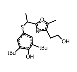 Cc1oc(C(C)Sc2cc(C(C)(C)C)c(O)c(C(C)(C)C)c2)nc1CCO